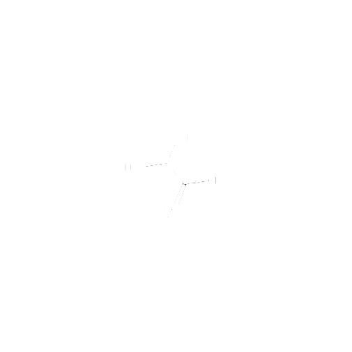 C=C(C)P(C)C